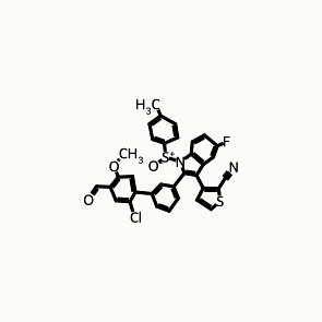 COc1cc(-c2cccc(-c3c(-c4ccsc4C#N)c4cc(F)ccc4n3[S+]([O-])c3ccc(C)cc3)c2)c(Cl)cc1C=O